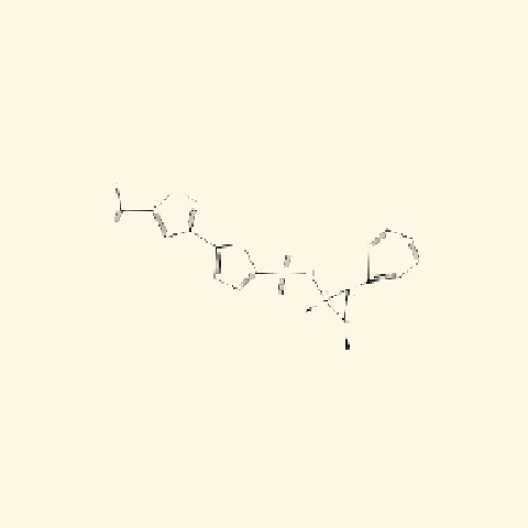 C[C@@H]1[C@H](c2ccccc2)[C@]1(NS(=O)(=O)c1ccc(-c2cc(C(N)=O)on2)s1)C(=O)O